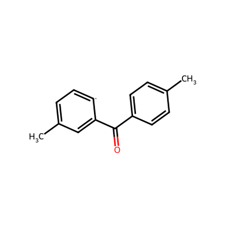 Cc1ccc(C(=O)c2[c]ccc(C)c2)cc1